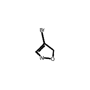 BrC1=C[N]OC1